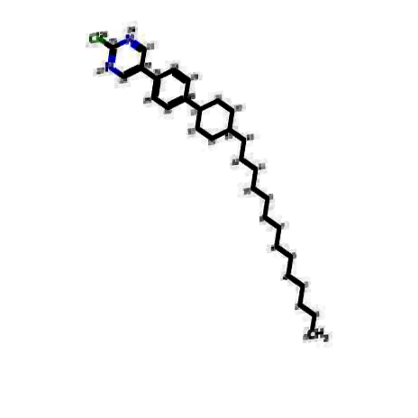 CCCCCCCCCCCCCCC1CCC(c2ccc(-c3cnc(Cl)nc3)cc2)CC1